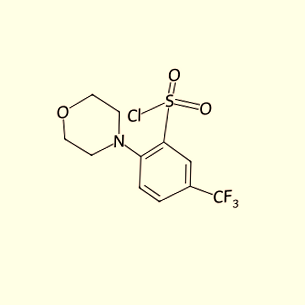 O=S(=O)(Cl)c1cc(C(F)(F)F)ccc1N1CCOCC1